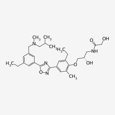 CCc1cc(CN(C)CC(C)C)cc(-c2nc(-c3cc(C)c(OC[C@@H](O)CNC(=O)CO)c(CC)c3)no2)c1